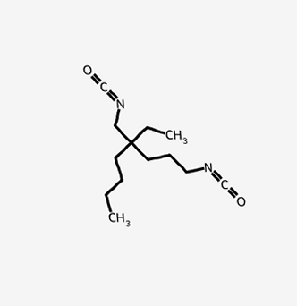 CCCCC(CC)(CCCN=C=O)CN=C=O